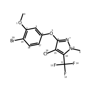 COc1cc(Oc2nn(C)c(C(F)(F)F)c2Cl)ccc1Br